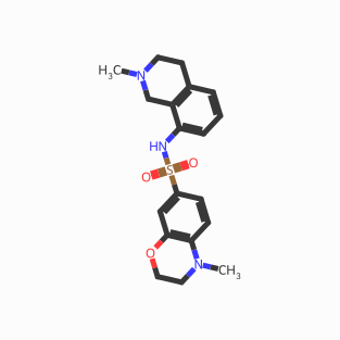 CN1CCc2cccc(NS(=O)(=O)c3ccc4c(c3)OCCN4C)c2C1